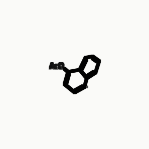 CC(=O)Oc1cc[c]c2ccccc12